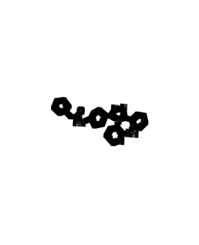 O=C(Cc1ccccc1)Nc1ccc(-c2nnc3n2-c2cccnc2Nc2ccccc2-3)cc1